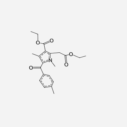 CCOC(=O)Cc1c(C(=O)OCC)c(C)c(C(=O)c2ccc(C)cc2)n1C